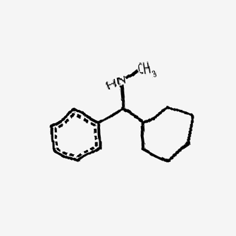 CNC(c1ccccc1)C1CCCCC1